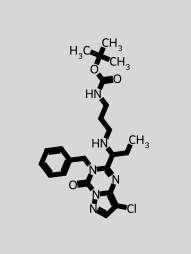 CCC(NCCCNC(=O)OC(C)(C)C)c1nc2c(Cl)cnn2c(=O)n1Cc1ccccc1